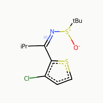 CC(C)/C(=N/[S+]([O-])C(C)(C)C)c1sccc1Cl